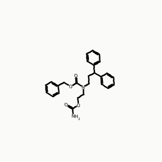 NC(=O)OCCN(CCC(c1ccccc1)c1ccccc1)C(=O)OCc1ccccc1